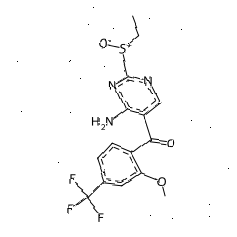 CC[S+]([O-])c1ncc(C(=O)c2ccc(C(F)(F)F)cc2OC)c(N)n1